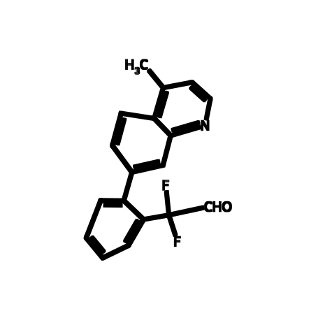 Cc1ccnc2cc(-c3ccccc3C(F)(F)C=O)ccc12